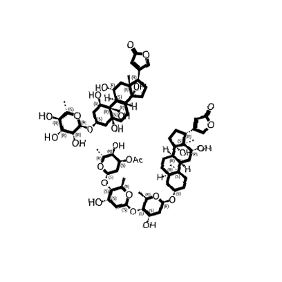 CC(=O)O[C@H]1C[C@H](O[C@H]2[C@@H](O)C[C@H](O[C@H]3[C@@H](O)C[C@H](O[C@H]4CC[C@@]5(C)[C@H](CC[C@@H]6[C@@H]5C[C@@H](O)[C@]5(C)[C@@H](C7=CC(=O)OC7)CC[C@]65O)C4)O[C@@H]3C)O[C@@H]2C)O[C@H](C)[C@H]1O.C[C@@H]1O[C@@H](O[C@H]2C[C@@H](O)[C@]3(CO)[C@H]4[C@H](O)C[C@]5(C)[C@@H](C6=CC(=O)OC6)CC[C@]5(O)[C@@H]4CC[C@]3(O)C2)[C@H](O)[C@H](O)[C@H]1O